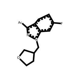 CC(=O)c1nn(CC2CCOC2)c2cc(F)ccc12